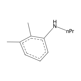 CCCNc1cccc(C)c1C